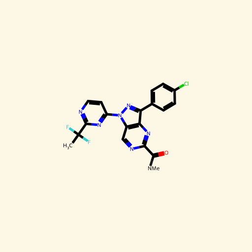 CNC(=O)c1ncc2c(n1)c(-c1ccc(Cl)cc1)nn2-c1ccnc(C(C)(F)F)n1